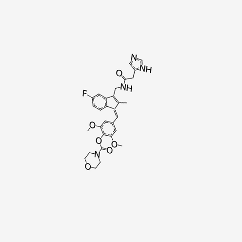 COc1cc(/C=C2/C(C)=C(CNC(=O)Cc3cnc[nH]3)c3cc(F)ccc32)cc(OC)c1OC(=O)N1CCOCC1